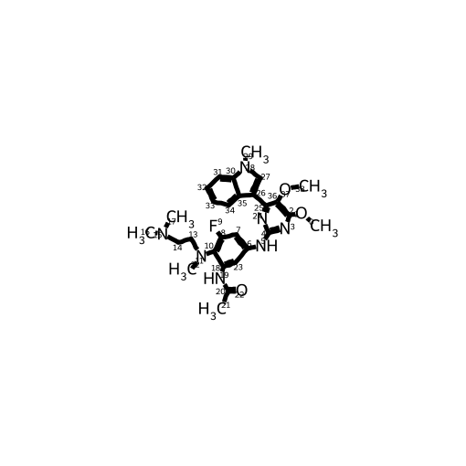 COc1nc(Nc2cc(F)c(N(C)CCN(C)C)c(NC(C)=O)c2)nc(-c2cn(C)c3ccccc23)c1OC